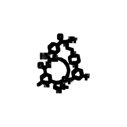 Cc1cc2cc(n1)-c1cnn(C)c1OCCCCCN1/C(=N/C2=O)Nc2ccc(C(=O)N(CCN3CCN(c4cc(F)cc(F)c4)CC3)C(C)C)cc21